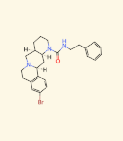 O=C(NCCc1ccccc1)N1CCC[C@@H]2CN3CCc4cc(Br)ccc4[C@@H]3C[C@@H]21